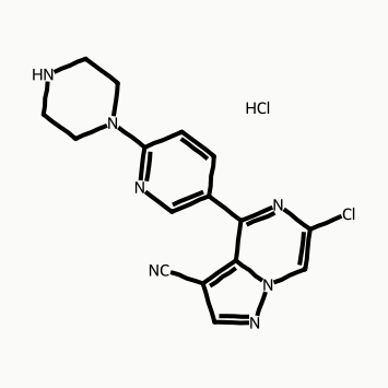 Cl.N#Cc1cnn2cc(Cl)nc(-c3ccc(N4CCNCC4)nc3)c12